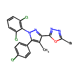 Cc1c(-c2nnc(C(C)(C)C)o2)nn(-c2c(Cl)cccc2Cl)c1-c1ccc(Cl)cc1